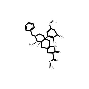 COC(=O)c1cc2c([nH]c1=O)C[C@@]1(C3=C(C)C(C)CC(OC)=C3)CCN(Cc3ccccc3)[C@H](C)[C@]1(O)C2